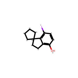 Oc1ccc(I)c2c1CCC21CCCC1